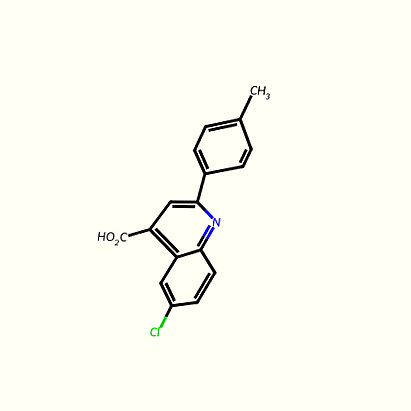 Cc1ccc(-c2cc(C(=O)O)c3cc(Cl)ccc3n2)cc1